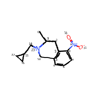 CC1Cc2c(cccc2[N+](=O)[O-])CN1CC1CC1